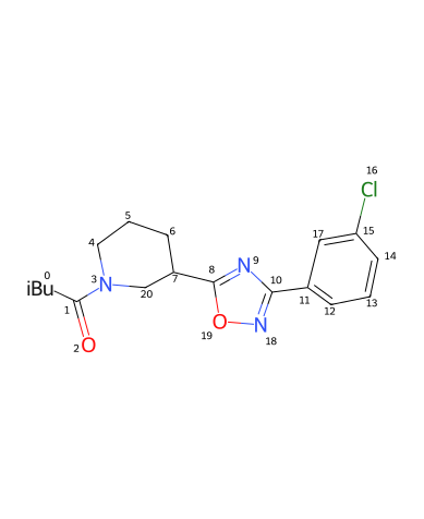 CCC(C)C(=O)N1CCCC(c2nc(-c3cccc(Cl)c3)no2)C1